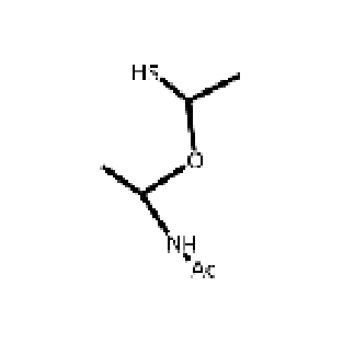 CC(=O)NC(C)OC(C)S